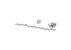 CCCCCCCCCCCCCCCCCC(CC)[N+](O)(CC)CC.[Cl-]